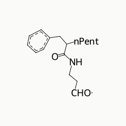 CCCCCC(Cc1ccccc1)C(=O)NCC[C]=O